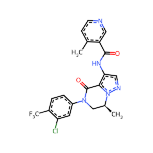 Cc1ccncc1C(=O)Nc1cnn2c1C(=O)N(c1ccc(C(F)(F)F)c(Cl)c1)C[C@@H]2C